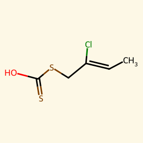 CC=C(Cl)CSC(O)=S